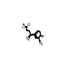 COC(=O)CCC(C#N)c1ccc(Br)c(C#N)c1